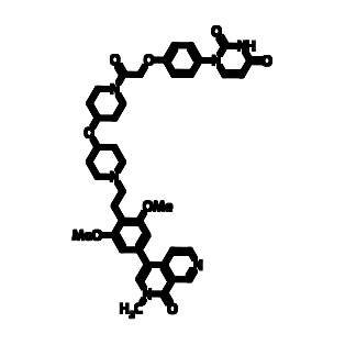 COc1cc(-c2cn(C)c(=O)c3cnccc23)cc(OC)c1CCN1CCC(OC2CCN(C(=O)COc3ccc(-n4ccc(=O)[nH]c4=O)cc3)CC2)CC1